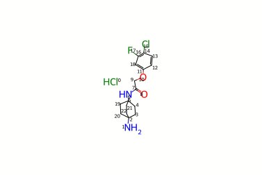 Cl.NC12CCC(NC(=O)COc3ccc(Cl)c(F)c3)(CC1)CC2